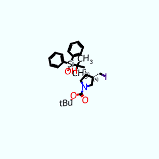 CC(C)(C)OC(=O)N1C[C@@H](CI)[C@@H](CC(C)(C)[Si](O)(c2ccccc2)c2ccccc2)C1